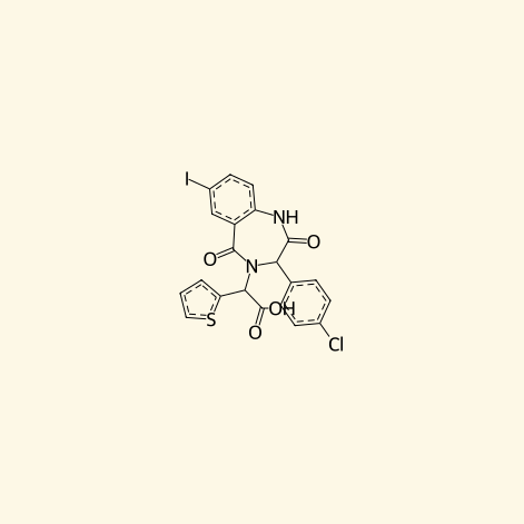 O=C1Nc2ccc(I)cc2C(=O)N(C(C(=O)O)c2cccs2)C1c1ccc(Cl)cc1